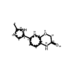 Cc1ncc(-c2ccc3c(n2)OCC(=O)N3)[nH]1